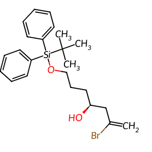 C=C(Br)C[C@@H](O)CCCO[Si](c1ccccc1)(c1ccccc1)C(C)(C)C